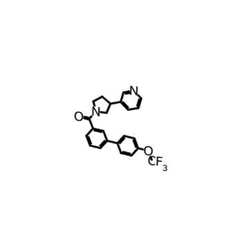 O=C(c1cccc(-c2ccc(OC(F)(F)F)cc2)c1)N1CCC(c2cccnc2)C1